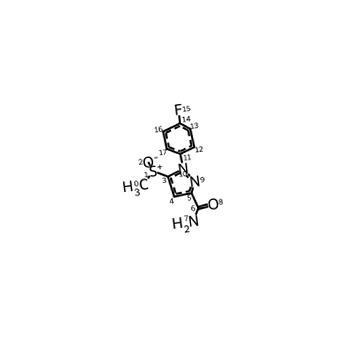 C[S+]([O-])c1cc(C(N)=O)nn1-c1ccc(F)cc1